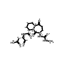 CNC(=O)NN1CCC(=O)N2CCC[C@@H](C(=O)N[C@H](C=O)CC(=O)O)N2C1=O